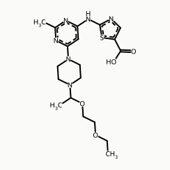 CCOCCOC(C)N1CCN(c2cc(Nc3ncc(C(=O)O)s3)nc(C)n2)CC1